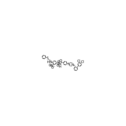 O=C(NS(=O)(=O)c1ccc(NCCSc2ccccc2)c([N+](=O)[O-])c1)c1ccc(N2CCN(Cc3ccccc3-c3ccc(Cl)c(Cl)c3)CC2)cc1